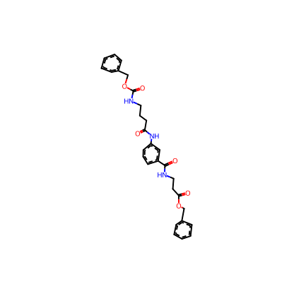 O=C(CCCNC(=O)OCc1ccccc1)Nc1cccc(C(=O)NCCC(=O)OCc2ccccc2)c1